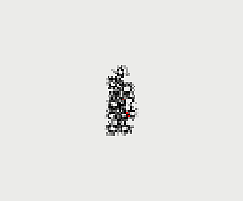 c1ccc(-c2ccccc2N(c2ccc3c(c2)C2(c4ccccc4-c4ccccc42)c2ccccc2-3)c2cccc3oc4c(-c5cccc6c5sc5ccccc56)c5ccccc5cc4c23)cc1